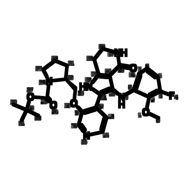 COc1c(F)cccc1Nc1c(-c2ccncc2OC[C@@H]2CCCN2C(=O)OC(C)(C)C)[nH]c2c1C(=O)NCC2